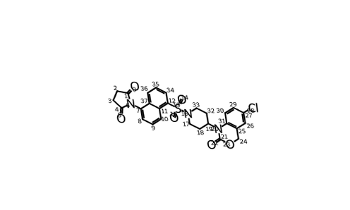 O=C1CCC(=O)N1c1cccc2c(S(=O)(=O)N3CCC(N4C(=O)OCc5cc(Cl)ccc54)CC3)cccc12